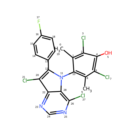 Cc1c(Cl)c(O)c(Cl)c(C)c1-n1c(-c2ccc(F)cc2)c(Cl)c2ncnc(Cl)c21